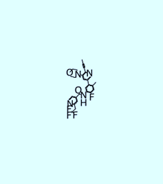 CC#Cc1ncc(-c2cc(NC(=O)c3ccnc(CC(F)(F)F)c3)c(F)cc2C)cc1N1CCOCC1